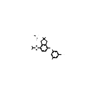 CC(C)(C)[S+]([O-])N[C@H]1c2c(S(=O)(=O)C(F)F)ccc(Oc3cc(F)cc(C#N)c3)c2CC1(F)F